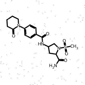 CS(=O)(=O)N1CC(NC(=O)c2ccc(N3CCCCC3=O)cc2)[CH]C1C(N)=O